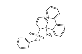 O=[N+]([O-])C1(c2ccccc2-c2ccccn2)C=CC=CC1S(=O)(=O)Nc1ccccc1